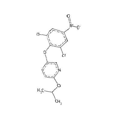 CC(C)Oc1ccc(Oc2c(Cl)cc([N+](=O)[O-])cc2Cl)cn1